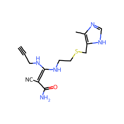 C#CCN/C(NCCSCc1[nH]cnc1C)=C(\C#N)C(N)=O